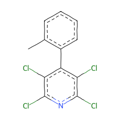 Cc1ccccc1-c1c(Cl)c(Cl)nc(Cl)c1Cl